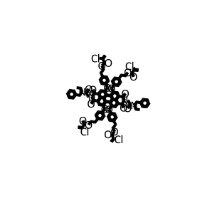 C=C(Cl)C(=O)OCCc1ccc(Oc2cc3c4c(cc(Oc5ccc(CCOC(=O)C(=C)Cl)cc5)c5c6c(Oc7ccc(CCOC(=O)C(=C)Cl)cc7)cc7c8c(cc(Oc9ccc(CCOC(=O)C(=C)Cl)cc9)c(c2c45)c86)C(=O)N(CC(=O)N(CC)Cc2ccccc2)C7=O)C(=O)N(CC(=O)N(CC)Cc2ccccc2)C3=O)cc1